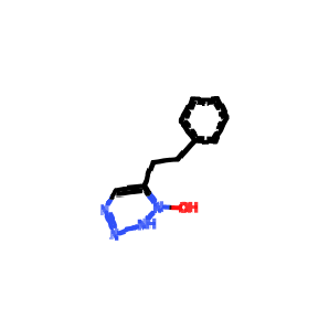 ON1NN=NC=C1CCc1ccccc1